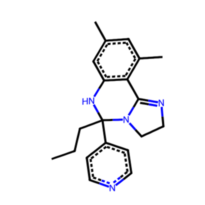 CCCC1(c2ccncc2)Nc2cc(C)cc(C)c2C2=NCCN21